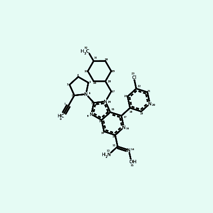 C#CC1CCCN1c1nc2cc(C(N)=NO)nc(-c3cncc(Cl)c3)c2n1CC1CCC(C)CC1